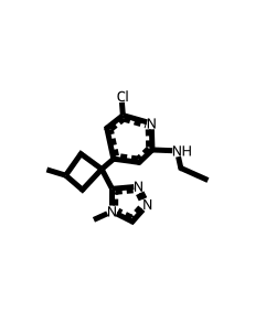 CCNc1cc(C2(c3nncn3C)CC(C)C2)cc(Cl)n1